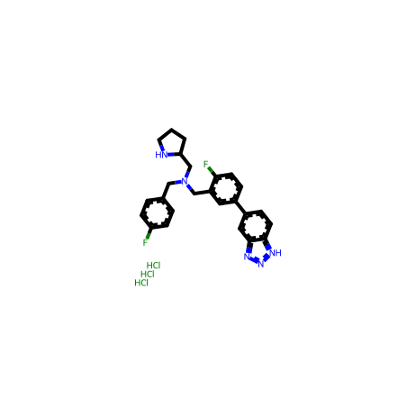 Cl.Cl.Cl.Fc1ccc(CN(Cc2cc(-c3ccc4[nH]nnc4c3)ccc2F)CC2CCCN2)cc1